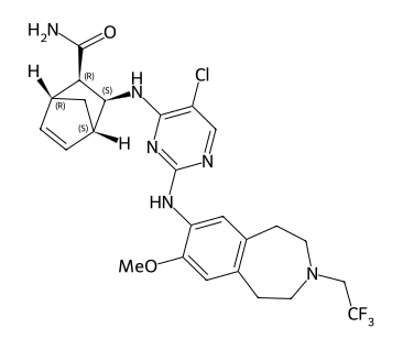 COc1cc2c(cc1Nc1ncc(Cl)c(N[C@@H]3[C@H](C(N)=O)[C@H]4C=C[C@@H]3C4)n1)CCN(CC(F)(F)F)CC2